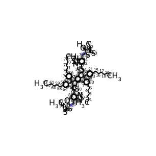 CCCCCCc1ccc(C2(c3ccc(CCCCCC)cc3)c3cc4c(cc3-c3sc(-c5ccc(/C=C6\SC(=S)N(CC)C6=O)c6nsnc56)cc32)C(c2ccc(CCCCCC)cc2)(c2ccc(CCCCCC)cc2)c2cc(-c3ccc(/C=C5/SC(=S)N(CC)C5=O)c5nsnc35)sc2-4)cc1